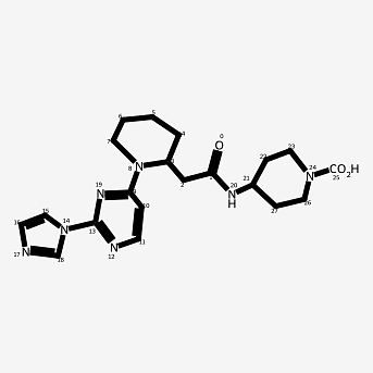 O=C(CC1CCCCN1c1ccnc(-n2ccnc2)n1)NC1CCN(C(=O)O)CC1